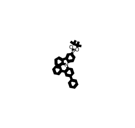 CC1(C)OB(c2ccc3c(c2)c2ccccc2n3-c2ccc(-c3ccccc3)cc2-c2ccccc2)OC1(C)C